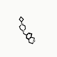 c1cc2c(cc1CN1CCN(C3CCC3)CC1)CC[N]C2